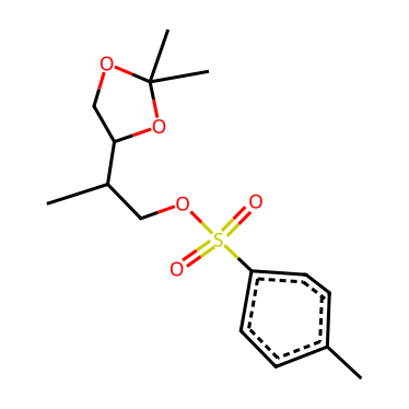 Cc1ccc(S(=O)(=O)OCC(C)C2COC(C)(C)O2)cc1